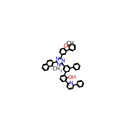 Cc1c(-c2nc(C3=CC(c4cccc(-c5cccc(-c6ccccc6)n5)c4O)CC(c4ccccc4)=C3)nc(-c3ccc4c(c3)C3=CC=CC[C@]3(C)O4)n2)ccc2ccccc12